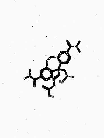 C[C@H](N)CC1(/C=N/OC(N)=O)c2ccc(C(=O)N(C)C)cc2CCc2cc(C(=O)N(C)C)ccc21